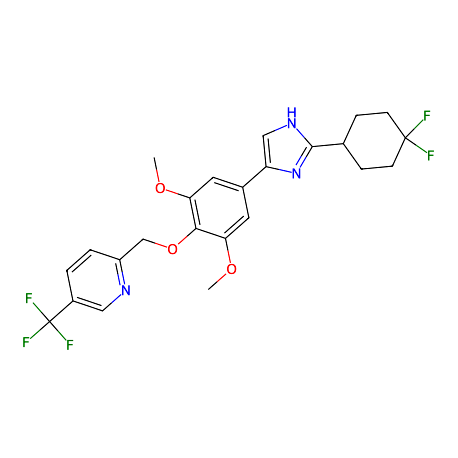 COc1cc(-c2c[nH]c(C3CCC(F)(F)CC3)n2)cc(OC)c1OCc1ccc(C(F)(F)F)cn1